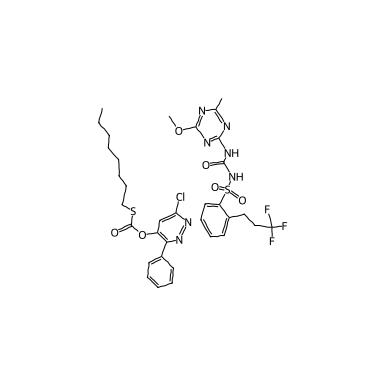 CCCCCCCCSC(=O)Oc1cc(Cl)nnc1-c1ccccc1.COc1nc(C)nc(NC(=O)NS(=O)(=O)c2ccccc2CCC(F)(F)F)n1